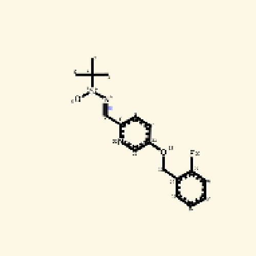 CC(C)(C)[S+]([O-])/N=C/c1ccc(OCc2ccccc2F)cn1